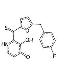 O=c1cc[nH]c(C(=S)c2ccc(Cc3ccc(F)cc3)o2)c1O